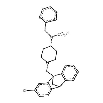 O=C(O)N(Cc1ccccn1)C1CCN(CC23CC(c4ccccc42)c2ccc(Cl)cc23)CC1